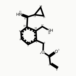 C=CC(=O)OCc1cccc(C(=N)C2CC2)c1CS